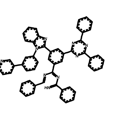 N=C(/N=C(\N=C\c1ccccc1)c1cc(-c2nc(-c3ccccc3)nc(-c3ccccc3)n2)cc(-c2nc3ccccc3n2-c2cccc(-c3cccnc3)c2)c1)c1ccccc1